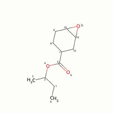 CCC(C)OC(=O)C1CCC2OC2C1